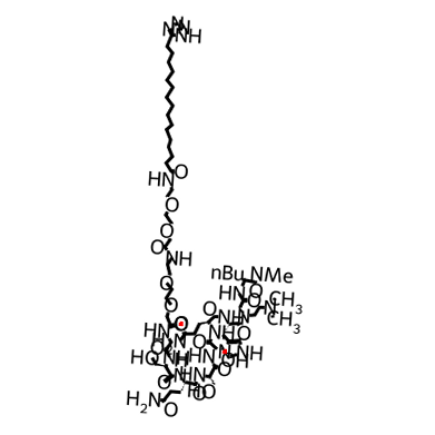 CCCC[C@H](NC(=O)CN(CCN(C)C)C(=O)[C@H](Cc1c[nH]cn1)NC(=O)[C@H](CCC(N)=O)NC(=O)[C@H](CO)NC(=O)[C@H](CO)NC(=O)[C@H](CCC(N)=O)NC(=O)[C@@H](CO)NC(=O)CNC(=O)COCCOCCNC(=O)COCCOCCNC(=O)CCCCCCCCCCCCCCCc1nnn[nH]1)C(=O)NC